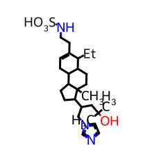 CCC1C(CCNS(=O)(=O)O)=CCC2C1CCC1(C)C(C(Cn3ccnc3)CC(C)(C)O)CCC21